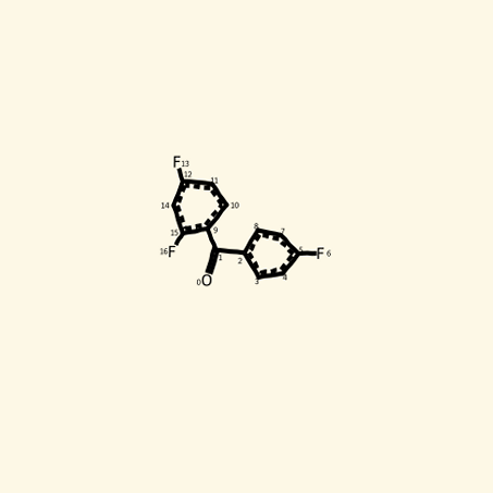 O=C(c1ccc(F)cc1)c1ccc(F)cc1F